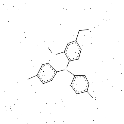 CCc1ccc(N(c2ccc(C)cc2)c2ccc(C)cc2)c(OC)c1